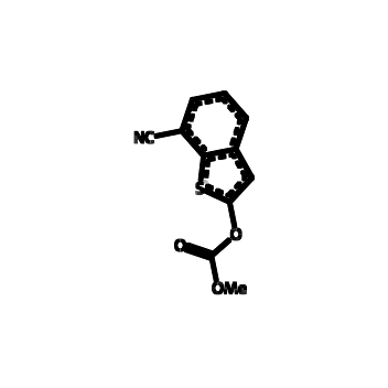 COC(=O)Oc1cc2cccc(C#N)c2s1